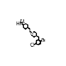 CCNC1CCC(CCN2CCC(Cc3cc(Cl)ccc3Br)CC2)CC1